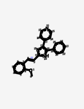 COc1ccccc1/C=C/c1nc(-c2ccncc2)c(-c2ccccc2)[nH]1